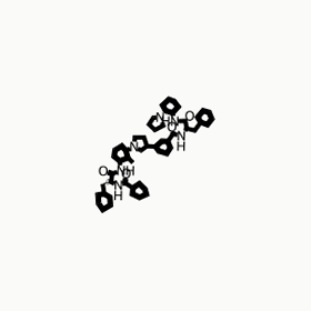 Cc1c(NC(=O)[C@@H](Cc2ccccc2)NC(=O)c2ccccc2)cccc1N1CCC(c2cccc(C(=O)NC(Cc3ccccc3)C(=O)Nc3ccccc3N3CCCC3)c2)C1